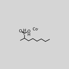 CCCCCCC(C)[PH](=O)O.[Co]